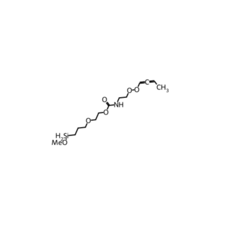 CC=C=COOCCNC(=O)OCCOCCC[SiH2]OC